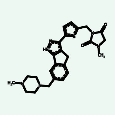 CN1CCN(Cc2ccc3c(c2)-c2[nH]nc(-c4ccc(CN5C(=O)CN(C)C5=O)s4)c2C3)CC1